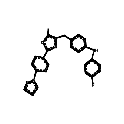 Cc1oc(-c2ccc(-n3cccn3)cc2)nc1Cc1ccc(Nc2ccc(F)cc2)cc1